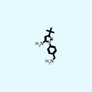 CC(C)(C)c1cc(N)n(-c2ccc(CN)cc2)n1